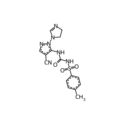 Cc1ccc(S(=O)(=O)NC(=O)Nc2c(C#N)cnn2N2C=NCC2)cc1